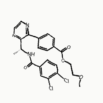 COCCOC(=O)c1ccc(-c2nccnc2[C@@H](C)NC(=O)c2ccc(Cl)c(Cl)c2)cc1